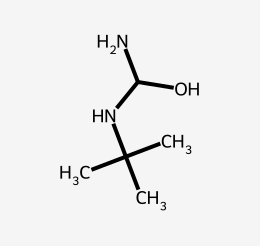 CC(C)(C)NC(N)O